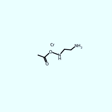 CC(=O)ONCCN.[Cr]